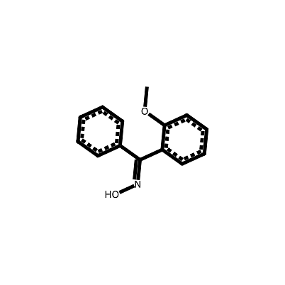 COc1ccccc1C(=NO)c1ccccc1